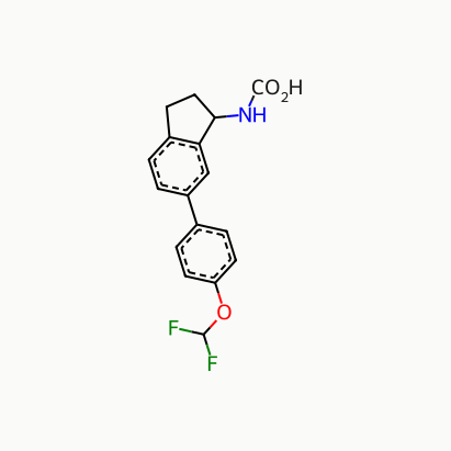 O=C(O)NC1CCc2ccc(-c3ccc(OC(F)F)cc3)cc21